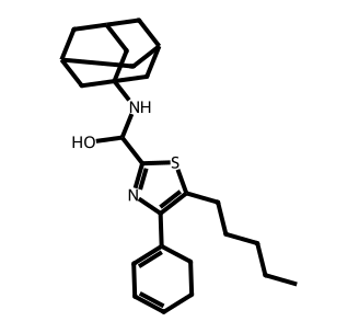 CCCCCc1sc(C(O)NC23CC4CC(CC(C4)C2)C3)nc1C1=CC=CCC1